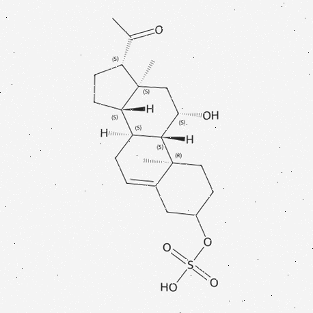 CC(=O)[C@H]1CC[C@H]2[C@@H]3CC=C4CC(OS(=O)(=O)O)CC[C@]4(C)[C@H]3[C@@H](O)C[C@]12C